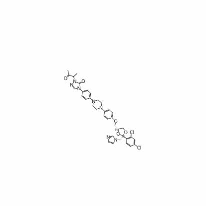 CC(=O)C(C)n1ncn(-c2ccc(N3CCN(c4ccc(OC[C@@H]5CO[C@@](Cn6ccnc6)(c6ccc(Cl)cc6Cl)O5)cc4)CC3)cc2)c1=O